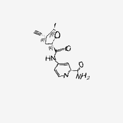 C#C[C@H]1C[C@H](C(=O)Nc2ccnc(C(N)=O)c2)O[C@@H]1C